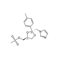 Cc1ccc([C@@]2(Cn3ccnc3)OC[C@@H](COS(C)(=O)=O)O2)cc1